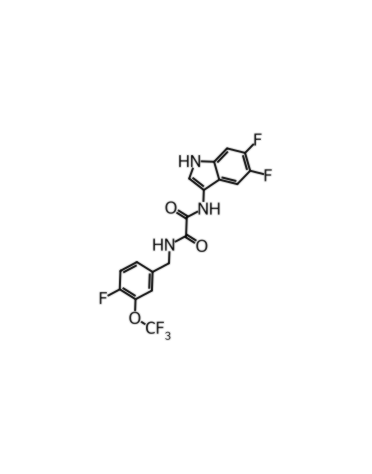 O=C(NCc1ccc(F)c(OC(F)(F)F)c1)C(=O)Nc1c[nH]c2cc(F)c(F)cc12